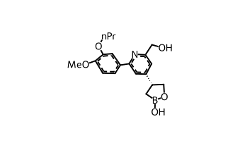 CCCOc1cc(-c2cc([C@@H]3COB(O)C3)cc(CO)n2)ccc1OC